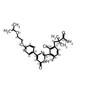 CC(C)OCCOc1ccc(-c2cc(=O)[nH]c(-c3c(F)ccc(CC(C)(C)C(N)=O)c3Cl)n2)cn1